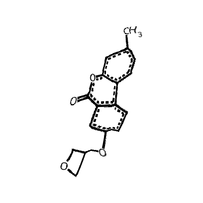 Cc1ccc2c(c1)oc(=O)c1cc(OC3COC3)ccc12